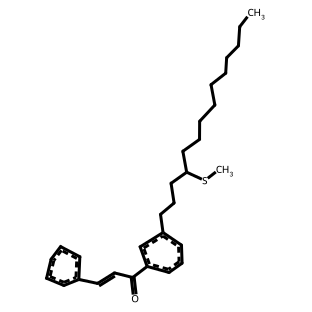 CCCCCCCCCCC(CCCc1cccc(C(=O)C=Cc2ccccc2)c1)SC